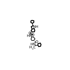 C[C@@H](NC(=O)[C@H]1CC[C@H](NS(=O)(=O)c2ccc3[nH]c(-c4ccccc4)cc3c2)CC1)c1ccccc1